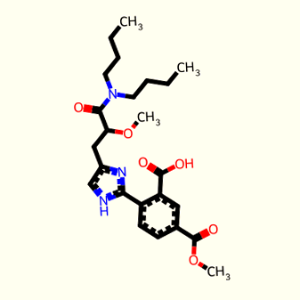 CCCCN(CCCC)C(=O)C(Cc1c[nH]c(-c2ccc(C(=O)OC)cc2C(=O)O)n1)OC